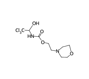 O=C(NC(O)C(Cl)(Cl)Cl)OCCN1CCOCC1